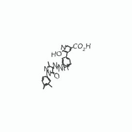 CC1=NN(c2ccc(C)c(C)c2)C(=O)C1=NNc1cccc(-c2cc(C(=O)O)cnc2O)c1